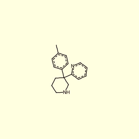 Cc1ccc(C2(c3ccccn3)CCCNC2)cc1